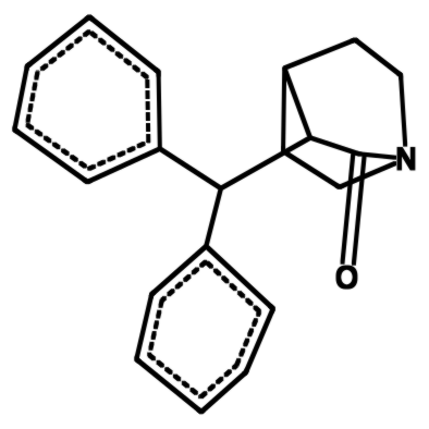 O=C1C(C(c2ccccc2)c2ccccc2)C2CCN1CC2